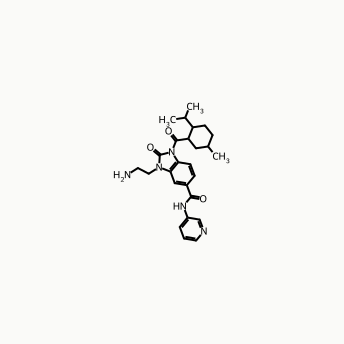 CC1CCC(C(C)C)C(C(=O)n2c(=O)n(CCN)c3cc(C(=O)Nc4cccnc4)ccc32)C1